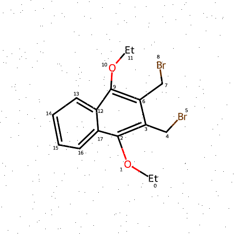 CCOc1c(CBr)c(CBr)c(OCC)c2ccccc12